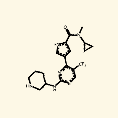 CN(C(=O)c1cc(-c2nc(NC3CCCNC3)ncc2C(F)(F)F)c[nH]1)C1CC1